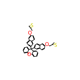 c1ccc2c(c1)Oc1ccccc1C2(c1ccc2cc(OCC3CS3)ccc2c1)c1ccc2cc(OCC3CS3)ccc2c1